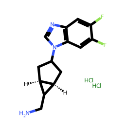 Cl.Cl.NCC1[C@H]2CC(n3cnc4cc(F)c(F)cc43)C[C@@H]12